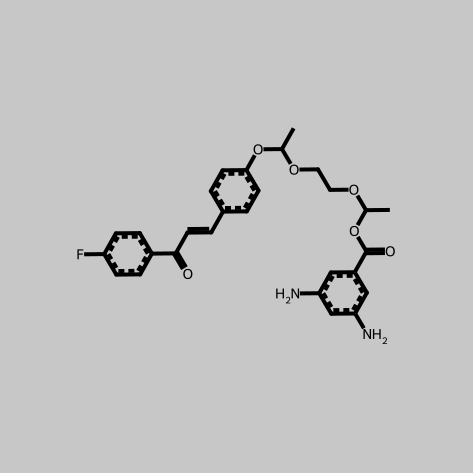 CC(OCCOC(C)Oc1ccc(/C=C/C(=O)c2ccc(F)cc2)cc1)OC(=O)c1cc(N)cc(N)c1